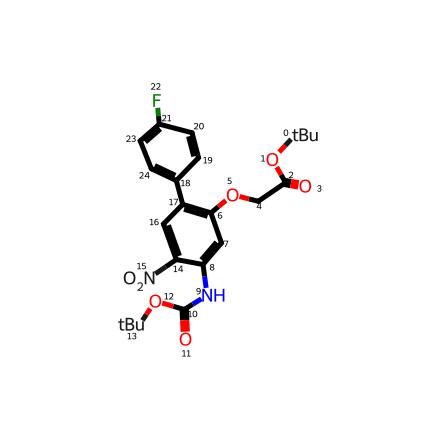 CC(C)(C)OC(=O)COc1cc(NC(=O)OC(C)(C)C)c([N+](=O)[O-])cc1-c1ccc(F)cc1